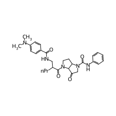 CCCC(CNC(=O)c1ccc(N(C)C)cc1)C(=O)N1CCC2C1C(=O)CN2C(=O)Nc1ccccc1